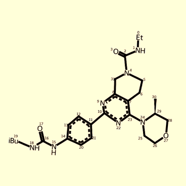 CCNC(=O)N1CCc2c(nc(-c3ccc(NC(=O)NC(C)CC)cc3)nc2N2CCOC[C@@H]2C)C1